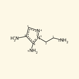 NCCn1ncc(N)c1N